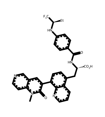 CC[C@@H](Nc1ccc(C(=O)N[C@@H](Cc2ccc(-c3cc4cnccc4n(C)c3=O)c3ncccc23)C(=O)O)cc1)C(F)(F)F